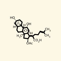 CC(=O)O[C@H]1C[C@@]2(C)[C@@H](C[C@@H](O)[C@H]3[C@@]4(C)CC[C@@H](O)C[C@@H]4CC[C@@]32C)/C1=C(\CCC=C(C)C)C(=O)O